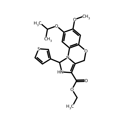 CCOC(=O)C1=C2COc3cc(OC)c(OC(C)C)cc3N2C(c2ccsc2)N1